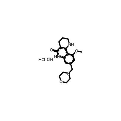 COc1cc(CN2CCOCC2)cc2[nH]c(=O)c3c(c12)NCCC3.Cl.Cl